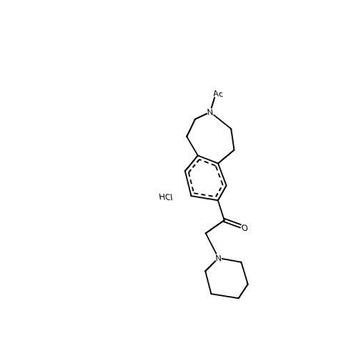 CC(=O)N1CCc2ccc(C(=O)CN3CCCCC3)cc2CC1.Cl